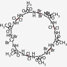 C/C=C1/C(=O)c2c[nH]c3cc(Cl)c(cc3Cl)[nH]cc3c(=O)c(c[nH]c4cc(Br)c(cc4Br)[nH]cc4c(=O)c(c[nH]c5cc(Cl)c(cc5Cl)[nH]cc5c(=O)c(c(N)c6cc(Br)c(cc6Br)[nH]cc6c(=O)c(c[nH]c7cc(Cl)c(cc7Cl)[nH]cc7c(=O)c(c[nH]c8cc(Br)c(cc8Br)[nH]cc(c2=O)C1=O)C(=O)/C(=C/C)C7=O)C(=O)/C(=C/C)C6=O)C(=O)/C(=C/C)C5=O)C(=O)/C(=C/C)C4=O)C(=O)/C(=C/C)C3=O